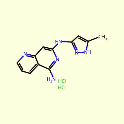 Cc1cc(Nc2cc3ncccc3c(N)n2)n[nH]1.Cl.Cl